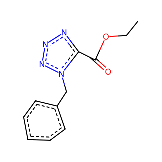 CCOC(=O)c1nnnn1Cc1ccccc1